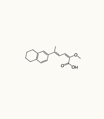 CO/C(=C/C=C(\C)c1ccc2c(c1)CCCC2)C(=O)O